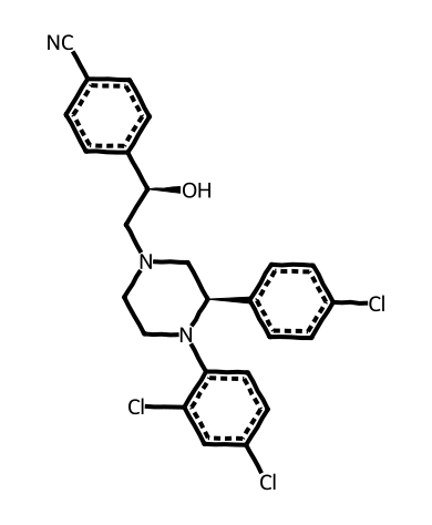 N#Cc1ccc([C@@H](O)CN2CCN(c3ccc(Cl)cc3Cl)[C@H](c3ccc(Cl)cc3)C2)cc1